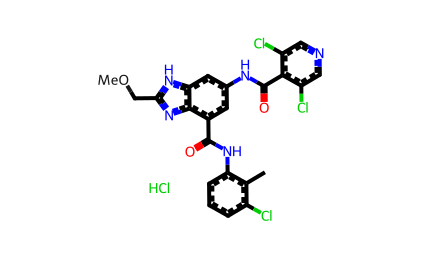 COCc1nc2c(C(=O)Nc3cccc(Cl)c3C)cc(NC(=O)c3c(Cl)cncc3Cl)cc2[nH]1.Cl